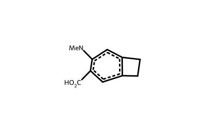 CNc1cc2c(cc1C(=O)O)CC2